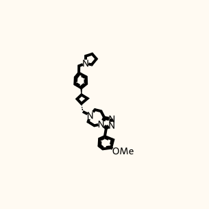 COc1cccc(-c2nnc3n2CCN(C[C@H]2C[C@H](c4ccc(CN5CCCC5)cc4)C2)CC3)c1